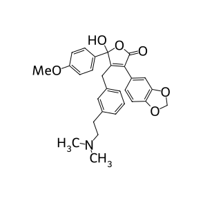 COc1ccc(C2(O)OC(=O)C(c3ccc4c(c3)OCO4)=C2Cc2cccc(CCN(C)C)c2)cc1